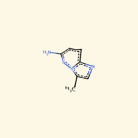 Cc1cnc2ccc(N)nn12